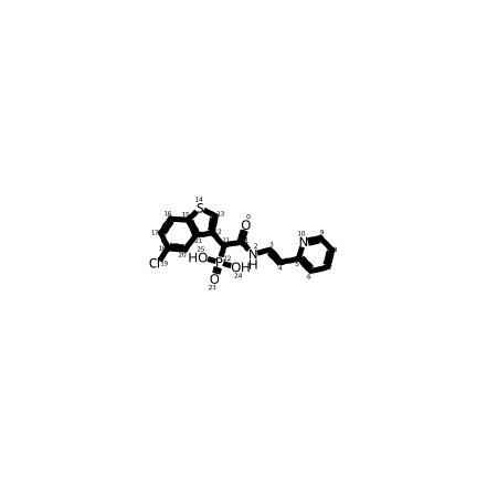 O=C(N/C=C/c1ccccn1)C(c1csc2ccc(Cl)cc12)P(=O)(O)O